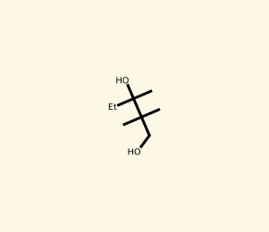 CCC(C)(O)C(C)(C)CO